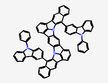 c1ccc(-n2c3ccccc3c3cc(-c4c5ccccc5cc5c6cccc7c8cc9c(cc8n(c45)c76)c4cccc5c6cc7ccccc7c(-c7ccc8c(c7)c7ccccc7n8-c7ccccc7)c6n9c45)ccc32)cc1